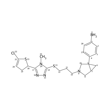 Bc1ccc(C23CC2CN(CCCSc2nnc(C4CC=C(Cl)S4)n2C)C3)cc1